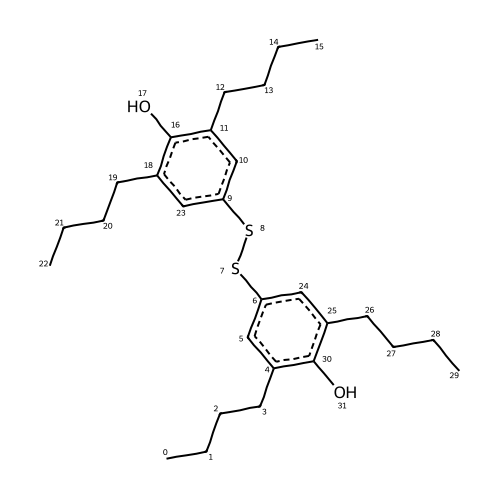 CCCCc1cc(SSc2cc(CCCC)c(O)c(CCCC)c2)cc(CCCC)c1O